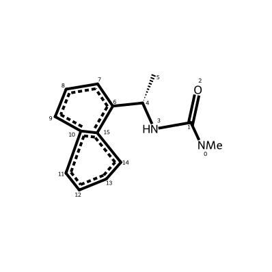 CNC(=O)N[C@@H](C)c1cccc2ccccc12